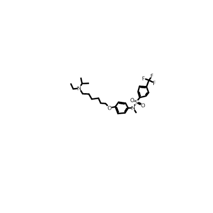 CCN(CCCCCCOc1ccc(N(C)S(=O)(=O)c2ccc(C(F)(F)F)cc2)cc1)C(C)C